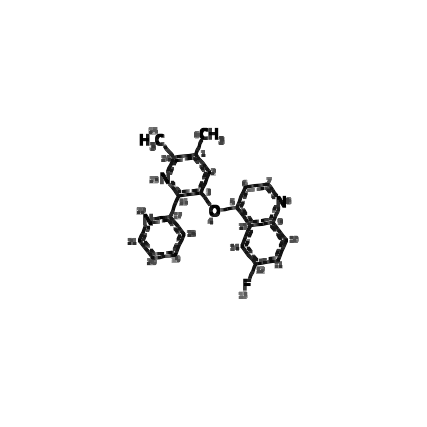 Cc1cc(Oc2ccnc3ccc(F)cc23)c(-c2ccccn2)nc1C